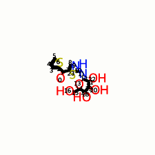 O=C(c1cccs1)c1cnc(NC2OC(CO)C(O)C(O)C2O)s1